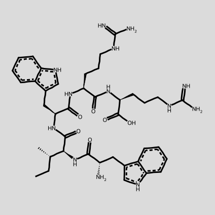 CC[C@H](C)[C@H](NC(=O)[C@@H](N)Cc1c[nH]c2ccccc12)C(=O)N[C@@H](Cc1c[nH]c2ccccc12)C(=O)N[C@@H](CCCNC(=N)N)C(=O)N[C@@H](CCCNC(=N)N)C(=O)O